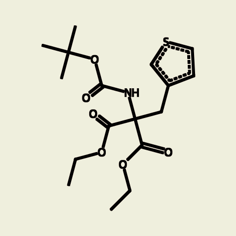 CCOC(=O)C(Cc1ccsc1)(NC(=O)OC(C)(C)C)C(=O)OCC